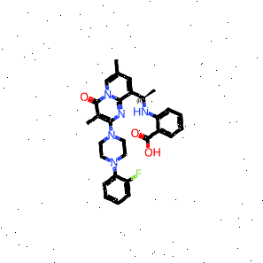 Cc1cc([C@@H](C)Nc2ccccc2C(=O)O)c2nc(N3CCN(c4ccccc4F)CC3)c(C)c(=O)n2c1